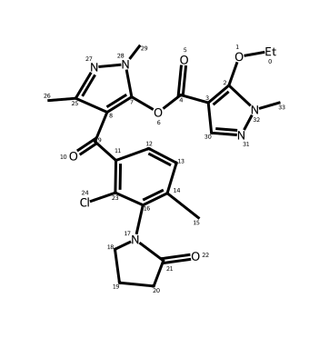 CCOc1c(C(=O)Oc2c(C(=O)c3ccc(C)c(N4CCCC4=O)c3Cl)c(C)nn2C)cnn1C